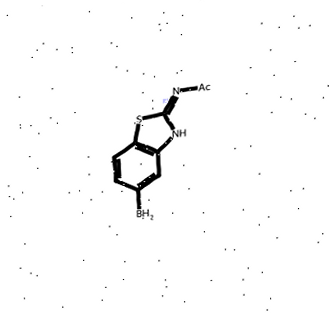 Bc1ccc2s/c(=N/C(C)=O)[nH]c2c1